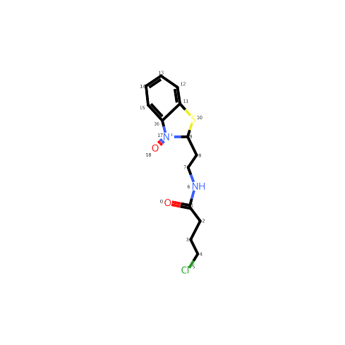 O=C(CCCCl)NCCC1Sc2ccccc2[N+]1=O